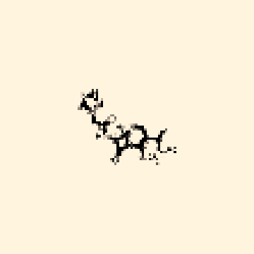 CC(=O)OC(C)C1=C(C(=O)O)N2C(=O)[C@@H](NC(=O)Cn3cnnn3)[C@@H]2SC1